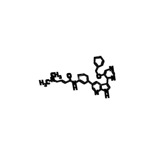 CN(C)CC=CC(=O)Nc1cccc(-c2cnc3[nH]cc(-c4ncncc4OCc4ccccc4)c3c2)c1